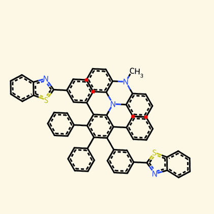 CN1c2ccccc2N(c2c(-c3ccccc3)c(-c3cccc(-c4nc5ccccc5s4)c3)c(-c3ccccc3)c(-c3ccccc3)c2-c2cccc(-c3nc4ccccc4s3)c2)c2ccccc21